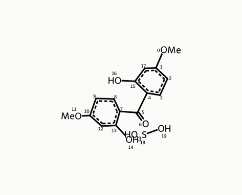 COc1ccc(C(=O)c2ccc(OC)cc2O)c(O)c1.O=S(=O)(O)O